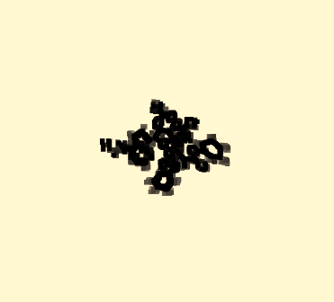 CCC(=O)O[C@H]1[C@H](c2ccc3c(N)ncnn23)O[C@](C#N)(CO[P@@](=O)(NC(C)C(=O)OC2CCCCC2)Oc2ccccc2)[C@H]1OC(=O)CC